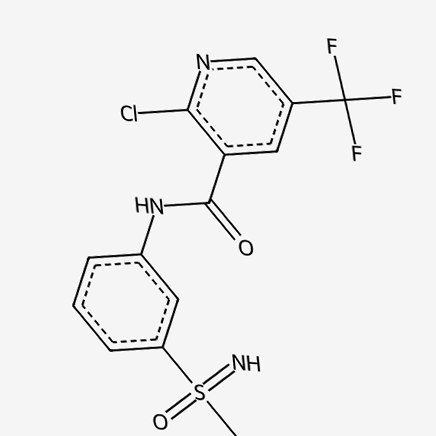 CS(=N)(=O)c1cccc(NC(=O)c2cc(C(F)(F)F)cnc2Cl)c1